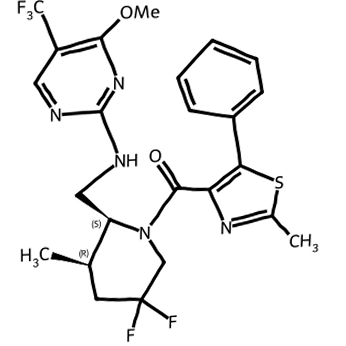 COc1nc(NC[C@@H]2[C@H](C)CC(F)(F)CN2C(=O)c2nc(C)sc2-c2ccccc2)ncc1C(F)(F)F